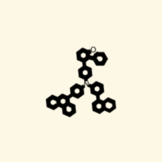 C1=Cc2c(cccc2-c2cccc(N(c3ccc(-c4cc5ccccc5c5ccccc45)cc3)c3ccc(-c4cccc5oc6ccccc6c45)cc3)c2)CC1